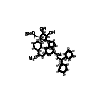 COC[C@H]1O[C@@H](n2cnc3c(NCC(c4ccccc4)c4ccccc4)nc(CN(C)C4CCCCC4)nc32)[C@H](O)[C@@H]1O